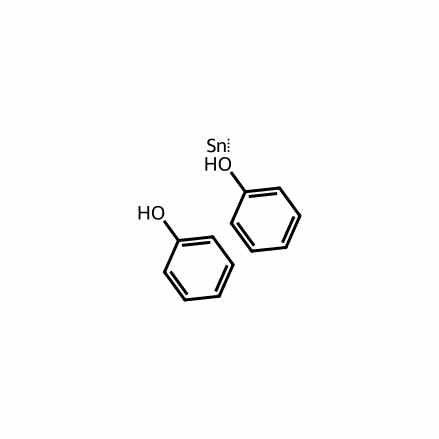 Oc1ccccc1.Oc1ccccc1.[Sn]